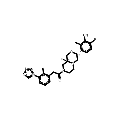 Cc1c(CC(=O)N2CCN3C[C@@H](c4ccc(F)c(C#N)c4C)OC[C@H]3C2)cccc1-n1cnnn1